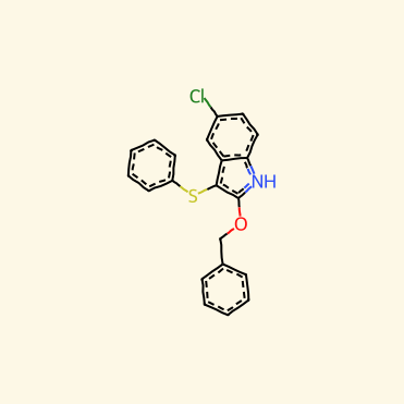 Clc1ccc2[nH]c(OCc3ccccc3)c(Sc3ccccc3)c2c1